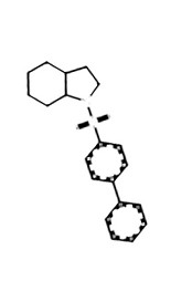 O=S(=O)(c1ccc(-c2ccccc2)cc1)N1CCC2CCCCC21